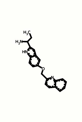 CCC(N)c1cc2cc(OCc3ccc4ccccc4n3)ccc2[nH]1